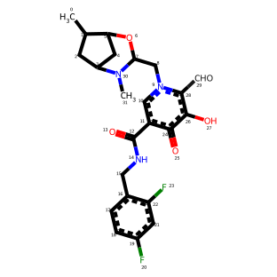 CC1CC2CC1OC(Cn1cc(C(=O)NCc3ccc(F)cc3F)c(=O)c(O)c1C=O)N2C